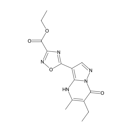 CCOC(=O)c1noc(-c2cnn3c(=O)c(CC)c(C)[nH]c23)n1